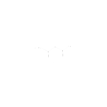 CCCCCCC(CC(CCC)CCCC)C(=O)O